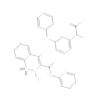 CC(C(=O)O)c1cccc(Oc2ccccc2)c1.CN1C(C(=O)Nc2ccccn2)=C(O)c2ccccc2S1(=O)=O.[CaH2]